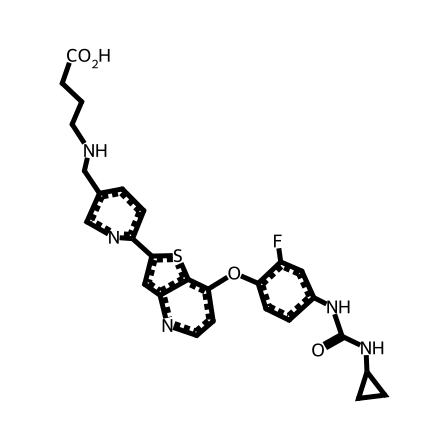 O=C(O)CCCNCc1ccc(-c2cc3nccc(Oc4ccc(NC(=O)NC5CC5)cc4F)c3s2)nc1